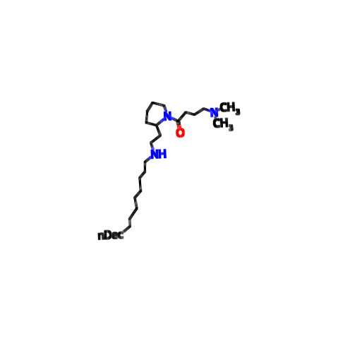 CCCCCCCCCCCCCCCCCCNCCC1CCCCN1C(=O)CCCN(C)C